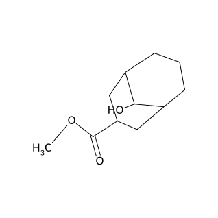 COC(=O)C1CC2CCCC(C1)C2O